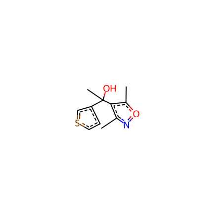 Cc1noc(C)c1C(C)(O)c1ccsc1